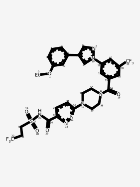 CCOc1cccc(-c2cnn(-c3cc(C(=O)N4CCN(c5ccc(C(=O)NS(=O)(=O)CCC(F)(F)F)nn5)CC4)cc(C(F)(F)F)c3)c2)c1